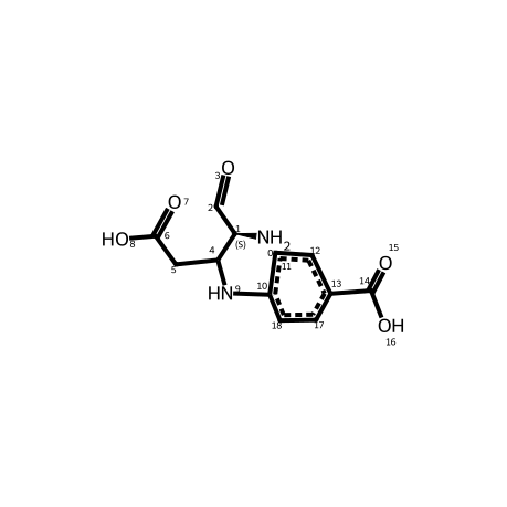 N[C@H](C=O)C(CC(=O)O)Nc1ccc(C(=O)O)cc1